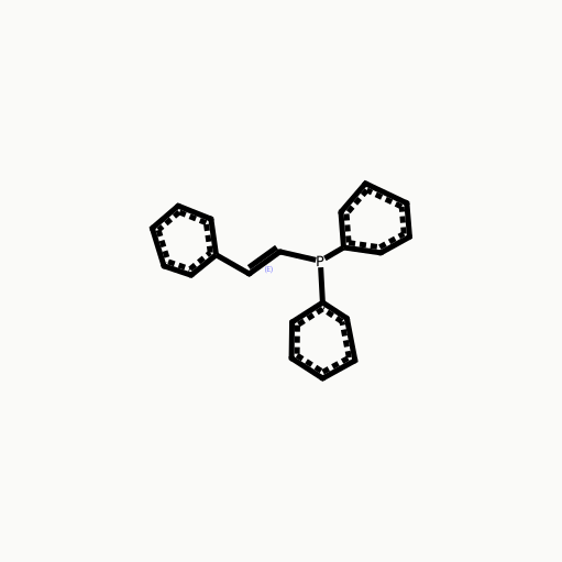 C(=C\P(c1ccccc1)c1ccccc1)/c1ccccc1